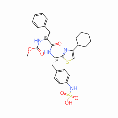 COC(=O)N[C@@H](Cc1ccccc1)C(=O)N[C@@H](Cc1ccc(NS(=O)(=O)O)cc1)c1nc(C2CCCCC2)cs1